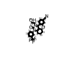 N#Cc1ccc(C2C3=C(CCCC3=O)N(c3cccc(C(F)(F)F)c3)C(=O)N2CCO)cc1